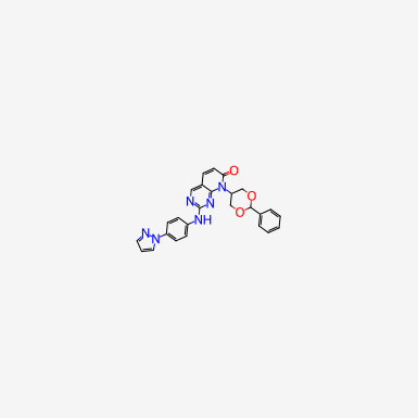 O=c1ccc2cnc(Nc3ccc(-n4cccn4)cc3)nc2n1C1COC(c2ccccc2)OC1